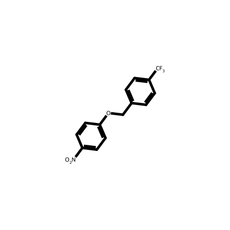 O=[N+]([O-])c1ccc(OCc2ccc(C(F)(F)F)cc2)cc1